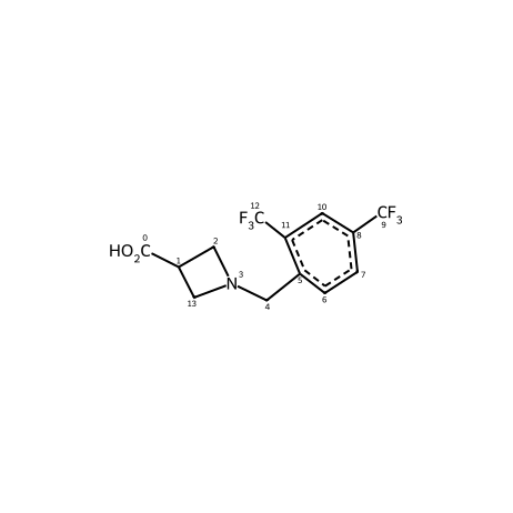 O=C(O)C1CN(Cc2ccc(C(F)(F)F)cc2C(F)(F)F)C1